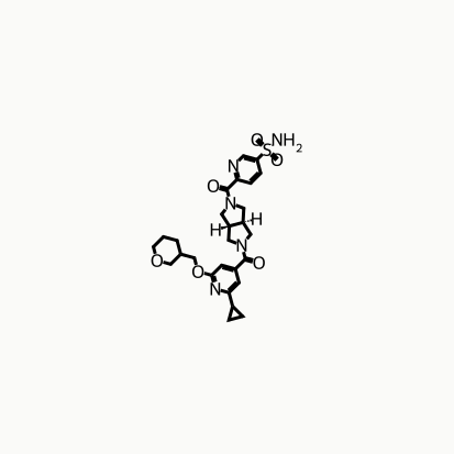 NS(=O)(=O)c1ccc(C(=O)N2C[C@H]3CN(C(=O)c4cc(OCC5CCCOC5)nc(C5CC5)c4)C[C@@H]3C2)nc1